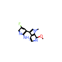 COc1nccc2c(-c3cc(F)cnc3N)cn(C)c12